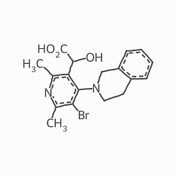 Cc1nc(C)c(C(O)C(=O)O)c(N2CCc3ccccc3C2)c1Br